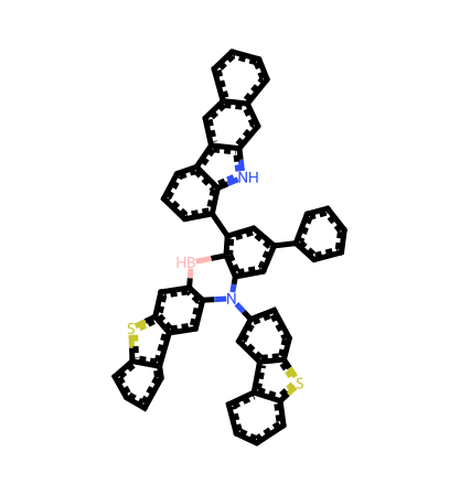 B1c2cc3sc4ccccc4c3cc2N(c2ccc3sc4ccccc4c3c2)c2cc(-c3ccccc3)cc(-c3cccc4c3[nH]c3cc5ccccc5cc34)c21